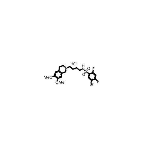 COc1cc2c(cc1OC)CN(CCCCNS(=O)(=O)c1cc(Br)c(F)cc1F)CC2.Cl